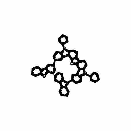 c1ccc(-n2c3ccc(-c4ccc5oc6ccccc6c5c4)cc3c3c4oc5c(ccc6c5c5cc(-n7c8ccccc8c8ccccc87)ccc5n6-c5ccccc5)c4ccc32)cc1